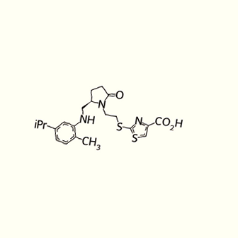 Cc1ccc(C(C)C)cc1NC[C@H]1CCC(=O)N1CCSc1nc(C(=O)O)cs1